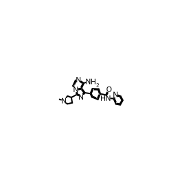 CN1CCC(c2nc(-c3ccc(C(=O)Nc4ccccn4)cc3)c3c(N)nccn23)C1